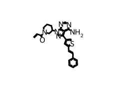 C=CC(=O)N1CCCC(n2nc(-c3csc(/C=C/c4ccccc4)c3)c3c(N)ncnc32)C1